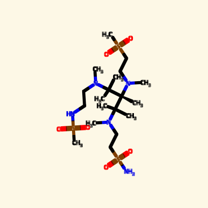 CN(CCNS(C)(=O)=O)C(C)(C)[C@](C)(N(C)CCS(C)(=O)=O)C(C)(C)N(C)CCS(N)(=O)=O